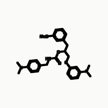 COc1cccc(CC(COc2cccc(N(C)C)c2)OC(=O)NCc2ccc(N(C)C)cc2)c1